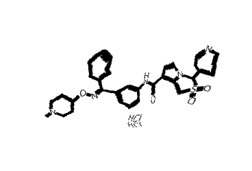 CN1CCC(ON=C(c2ccccc2)c2cccc(NC(=O)c3ccn4c3CS(=O)(=O)C4c3cccnc3)c2)CC1.Cl.Cl